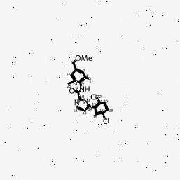 COCc1cc(C)c(NC(=O)c2nccc(-c3cc(Cl)ccc3Cl)n2)c(C)c1